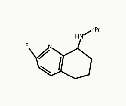 CCCNC1CCCc2ccc(F)nc21